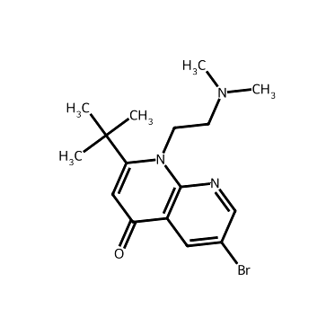 CN(C)CCn1c(C(C)(C)C)cc(=O)c2cc(Br)cnc21